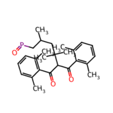 Cc1cccc(C)c1C(=O)C(C(=O)c1c(C)cccc1C)C(C)(C)CC(C)CP=O